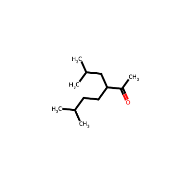 CC(=O)[C](CCC(C)C)CC(C)C